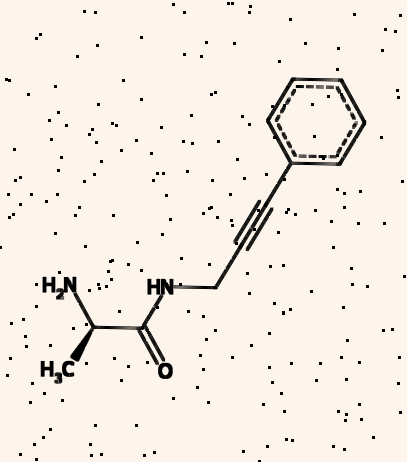 C[C@@H](N)C(=O)NCC#Cc1ccccc1